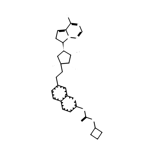 C[C@]1(CCc2ccc3ccc(NC(=O)OC4CCC4)nc3c2)C[C@@H](C2CC=C3C(N)=NC=NN32)[C@H](O)[C@@H]1O